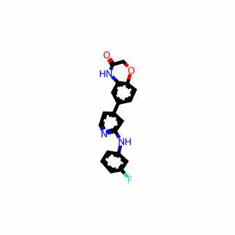 O=C1COc2ccc(-c3ccnc(Nc4cccc(F)c4)c3)cc2N1